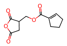 O=C1CC(COC(=O)C2=CCCC2)C(=O)O1